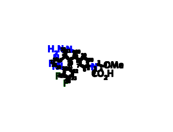 COCCN(C(=O)O)c1ccc(-c2cnc(N)c(-c3nnnn3-c3cccc(F)c3F)c2)cc1